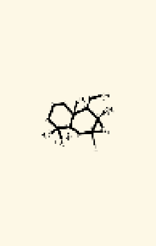 CC1(C)CCC[C@]2(C)[C@@H](CO)[C@]3(C)O[C@@H]3C[C@@H]12